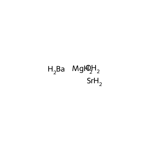 O.[BaH2].[MgH2].[SrH2]